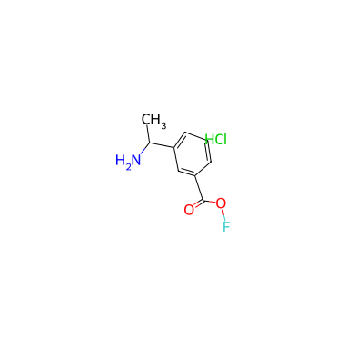 CC(N)c1cccc(C(=O)OF)c1.Cl